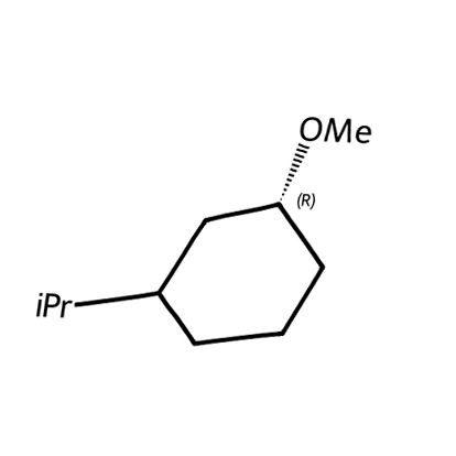 CO[C@@H]1CCCC(C(C)C)C1